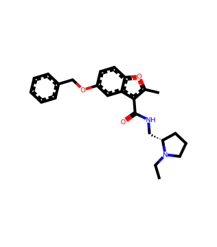 CCN1CCC[C@H]1CNC(=O)c1c(C)oc2ccc(OCc3ccccc3)cc12